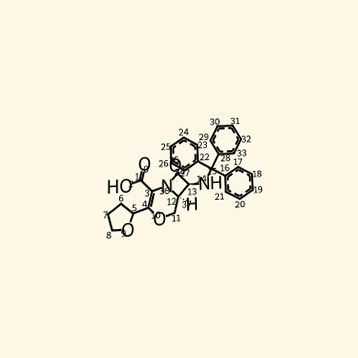 O=C(O)C1=C(C2CCCO2)OC[C@@H]2[C@H](NC(c3ccccc3)(c3ccccc3)c3ccccc3)C(=O)N12